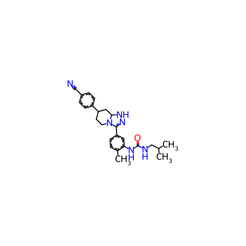 Cc1ccc(C2=NNC3CC(c4ccc(C#N)cc4)CCN23)cc1NC(=O)NCC(C)C